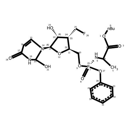 CCCCOC(=O)C(C)N[P@](=O)(OC[C@H]1O[C@@H](N2C=CC(=O)NC2O)[C@H](O)[C@@H]1CF)Oc1ccccc1